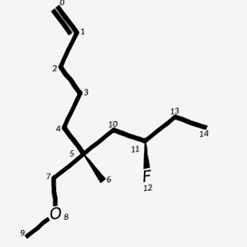 C=CCCC[C@@](C)(COC)C[C@H](F)CC